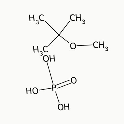 COC(C)(C)C.O=P(O)(O)O